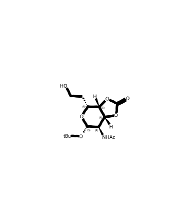 CC(=O)N[C@H]1[C@H](OC(C)(C)C)O[C@H](CCO)[C@@H]2OC(=O)O[C@H]12